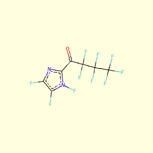 O=C(c1nc(F)c(F)n1F)C(F)(F)C(F)(F)C(F)(F)F